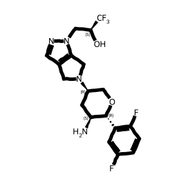 N[C@H]1C[C@@H](N2Cc3cnn(C[C@H](O)C(F)(F)F)c3C2)CO[C@@H]1c1cc(F)ccc1F